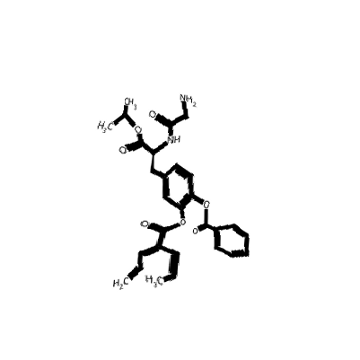 C=C/C=C(\C=C/C)C(=O)Oc1cc(C[C@H](NC(=O)CN)C(=O)OC(C)C)ccc1OC(=O)c1ccccc1